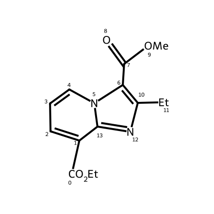 CCOC(=O)c1cccn2c(C(=O)OC)c(CC)nc12